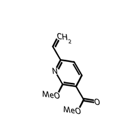 C=Cc1ccc(C(=O)OC)c(OC)n1